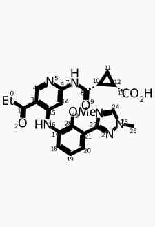 CCC(=O)c1cnc(NC(=O)[C@@H]2C[C@@H]2C(=O)O)cc1Nc1cccc(-c2ncn(C)n2)c1OC